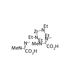 CC[N](CC)[Zr][N](CC)CC.CN=C(NC)C(=O)O.CN=C(NC)C(=O)O